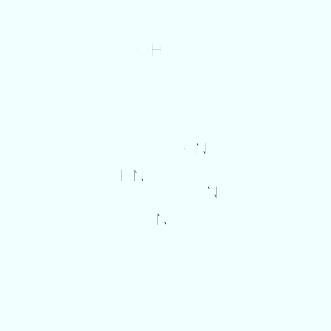 CC(C)(O)C1CC(Nc2nc(C3CC3)cnc2C#N)C1